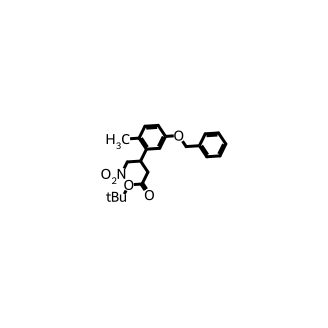 Cc1ccc(OCc2ccccc2)cc1C(CC(=O)OC(C)(C)C)C[N+](=O)[O-]